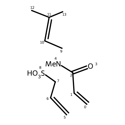 C=CC(=O)NC.C=CCS(=O)(=O)O.CC=C(C)C